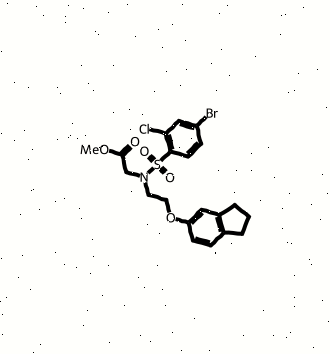 COC(=O)CN(CCOc1ccc2c(c1)CCC2)S(=O)(=O)c1ccc(Br)cc1Cl